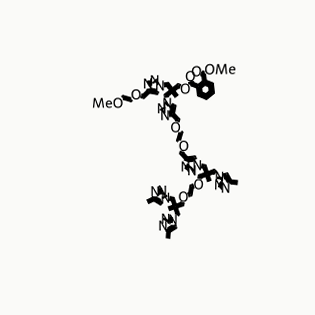 COCCOCc1cn(CC(C)(COC(=O)c2ccccc2C(=O)OC)Cn2cc(COCCOCc3cn(CC(C)(COCCOCC(C)(Cn4cc(C)nn4)Cn4cc(C)nn4)Cn4cc(C)nn4)nn3)nn2)nn1